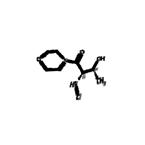 C[C@@H](O)[C@H](NCl)C(=O)N1CCOCC1